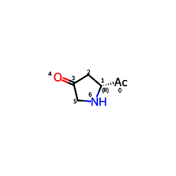 CC(=O)[C@H]1CC(=O)CN1